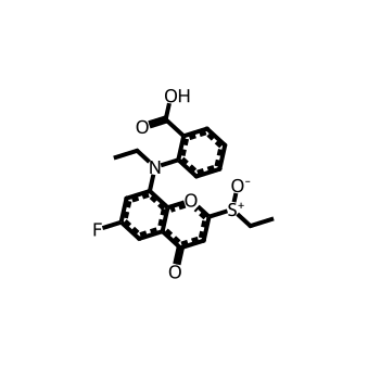 CCN(c1ccccc1C(=O)O)c1cc(F)cc2c(=O)cc([S+]([O-])CC)oc12